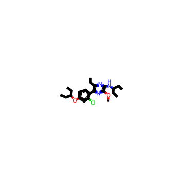 CCc1nc(NC(CC)CC)c(OC)nc1-c1ccc(OC(CC)CC)cc1Cl